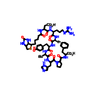 CCC(C)C(NC(=O)C(Cc1ccc(O)cc1)NC(=O)C(NC(=O)C(CCCN=C(N)N)NC(=O)C(CC(=O)O)NC(=O)CCCCC1SCC2NC(=O)NC21)C(C)C)C(=O)NC(Cc1cnc[nH]1)C(=O)N1CCCC1C(=O)NC(Cc1ccccc1)C(=O)O